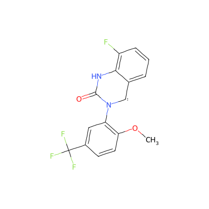 COc1ccc(C(F)(F)F)cc1N1[C]c2cccc(F)c2NC1=O